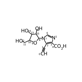 C#Cc1c(C(=O)O)ncn1C1OC(CO)C(O)C1O